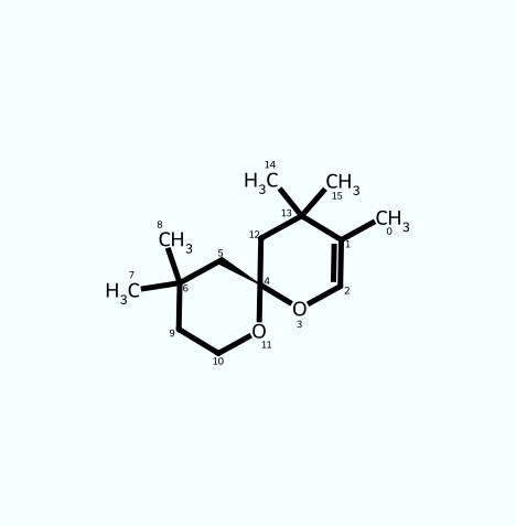 CC1=CO[C@@]2(CC(C)(C)CCO2)CC1(C)C